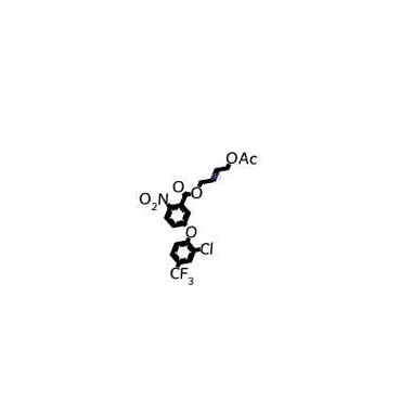 CC(=O)OC/C=C/COC(=O)c1cc(Oc2ccc(C(F)(F)F)cc2Cl)ccc1[N+](=O)[O-]